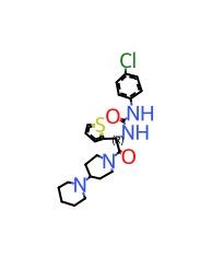 O=C(Nc1ccc(Cl)cc1)N[C@H](C(=O)N1CCC(N2CCCCC2)CC1)c1cccs1